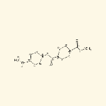 CCC(=O)N1CCN(C(=O)CN2CCC(OC)CC2)CC1